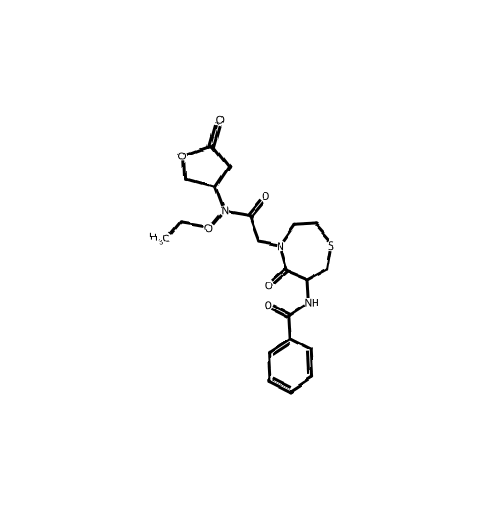 CCON(C(=O)CN1CCSCC(NC(=O)c2ccccc2)C1=O)C1COC(=O)C1